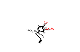 C=CCC(C)(C(=O)O)c1ccc(O)c(O)c1